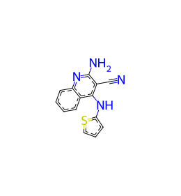 N#Cc1c(N)nc2ccccc2c1Nc1cccs1